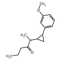 CCCC(=O)N(C)C1CC1c1cccc(OC)c1